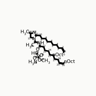 CCCCCCCC/C=C\CCCCCCCCC1=NC(C)CN1C(C)NC(=O)CCCCCCC/C=C\CCCCCCCC.COS(=O)(=O)O.N